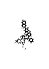 CCCC[C@H](C(N)=O)[C@@H](CC1CC1)C(=O)NC1N=C(c2ccccc2)c2ccccc2N(Cc2cccc(-c3ccc4ccccc4c3)c2)C1=O